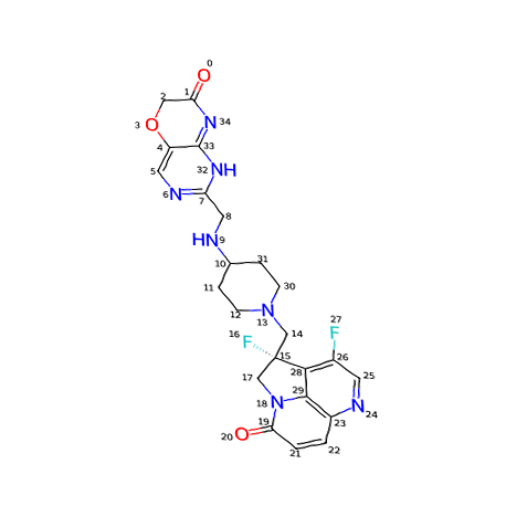 O=C1COC2=CN=C(CNC3CCN(C[C@]4(F)Cn5c(=O)ccc6ncc(F)c4c65)CC3)NC2=N1